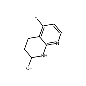 OC1CCc2c(F)ccnc2N1